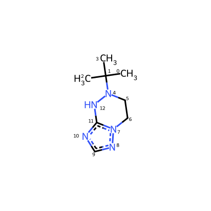 CC(C)(C)N1CCn2ncnc2N1